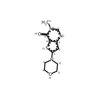 Cn1cnc2cc(N3CCOCC3)sc2c1=O